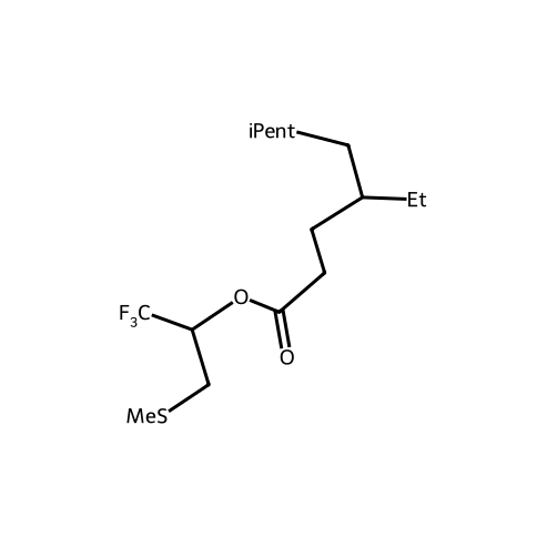 CCCC(C)CC(CC)CCC(=O)OC(CSC)C(F)(F)F